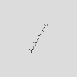 CC(C)=CCC/C(C)=C/CC/C(C)=C/CSCCS